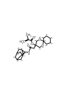 C=C(C)C(=O)OC1(CC(=O)OC2C3CC4CC(C3)CC2C4)COC2(CCCCC2)OC1